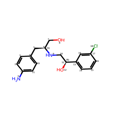 Nc1ccc(C[C@@H](CO)NC[C@H](O)c2cccc(Cl)c2)cc1